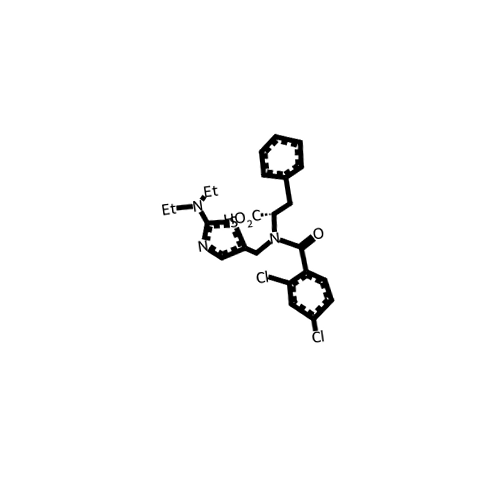 CCN(CC)c1ncc(CN(C(=O)c2ccc(Cl)cc2Cl)[C@@H](Cc2ccccc2)C(=O)O)s1